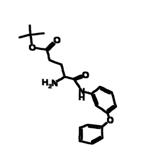 CC(C)(C)OC(=O)CCC(N)C(=O)Nc1cccc(Oc2ccccc2)c1